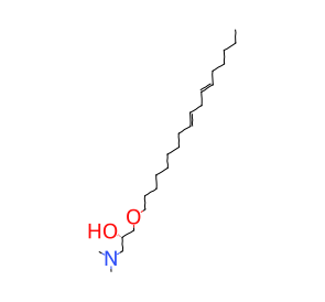 CCCCCC=CCC=CCCCCCCCCOC[C@@H](O)CN(C)C